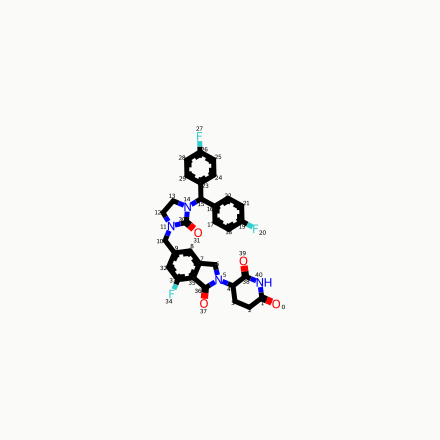 O=C1CCC(N2Cc3cc(CN4CCN(C(c5ccc(F)cc5)c5ccc(F)cc5)C4=O)cc(F)c3C2=O)C(=O)N1